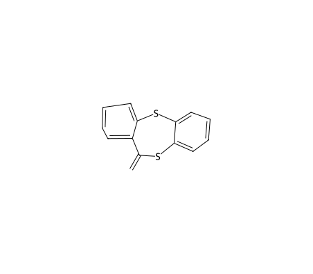 C=C1Sc2ccccc2Sc2ccccc21